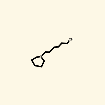 OCCCCCCN1CCCCC1